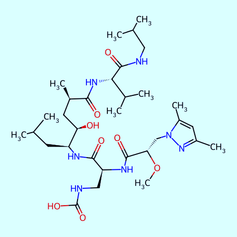 CO[C@@H](Cn1nc(C)cc1C)C(=O)N[C@@H](CNC(=O)O)C(=O)N[C@@H](CC(C)C)[C@H](O)C[C@@H](C)C(=O)N[C@H](C(=O)NCC(C)C)C(C)C